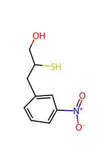 O=[N+]([O-])c1cccc(CC(S)CO)c1